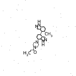 C=CC(=O)N1CCN(c2ccc(-c3c(C)ccc4[nH]ncc34)c3cn[nH]c23)CC1